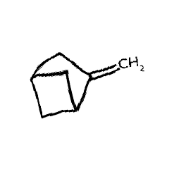 C=C1CC2CC1C2